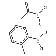 C=C(C)[SiH](Cl)Cl.Cc1ccccc1[SiH](Cl)Cl